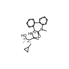 C[C@H](O)[C@@H](CC1CC1)C(=O)N[C@@H]1C(=O)N(C)c2ccccc2-c2ccccc21